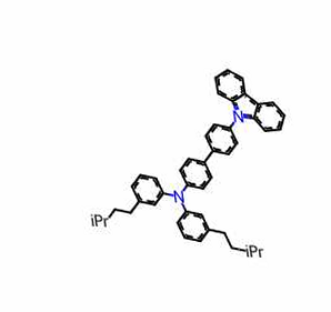 CC(C)CCc1cccc(N(c2ccc(-c3ccc(-n4c5ccccc5c5ccccc54)cc3)cc2)c2cccc(CCC(C)C)c2)c1